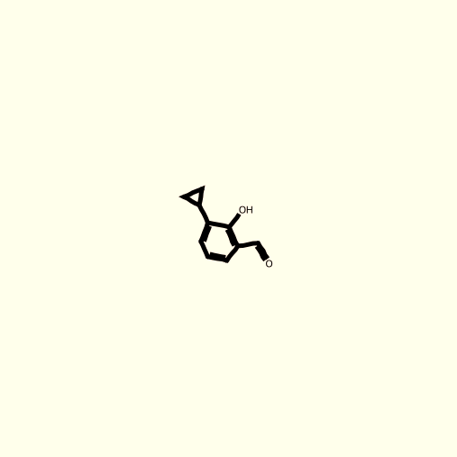 O=Cc1cccc(C2CC2)c1O